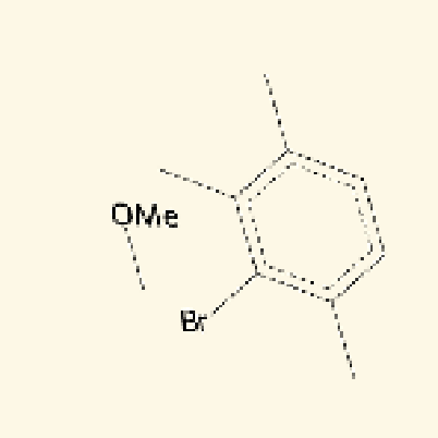 COC.Cc1ccc(C)c(Br)c1C